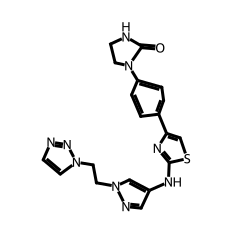 O=C1NCCN1c1ccc(-c2csc(Nc3cnn(CCn4ccnn4)c3)n2)cc1